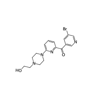 O=C(c1cncc(Br)c1)c1cccc(N2CCN(CCO)CC2)n1